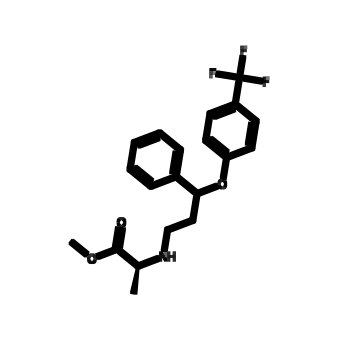 COC(=O)[C@H](C)NCCC(Oc1ccc(C(F)(F)F)cc1)c1ccccc1